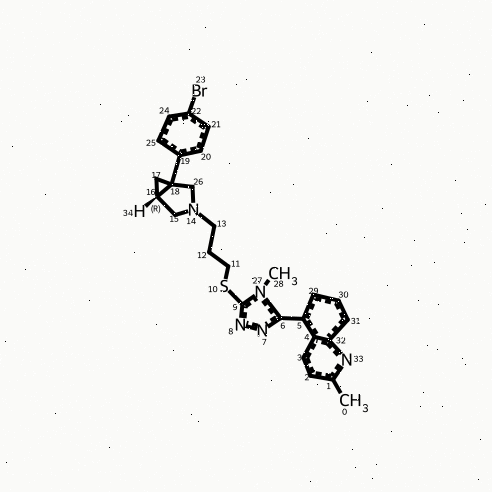 Cc1ccc2c(-c3nnc(SCCCN4C[C@@H]5CC5(c5ccc(Br)cc5)C4)n3C)cccc2n1